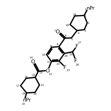 CCCC1CCC(CC(=O)c2ccc(OC(=O)C3CCC(CCC)CC3)c(F)c2C(F)F)CC1